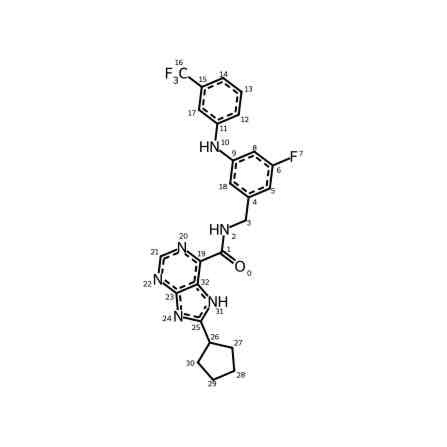 O=C(NCc1cc(F)cc(Nc2cccc(C(F)(F)F)c2)c1)c1ncnc2nc(C3CCCC3)[nH]c12